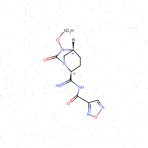 N=C(NC(=O)c1cnon1)[C@@H]1CC[C@@H]2CN1C(=O)N2OS(=O)(=O)O